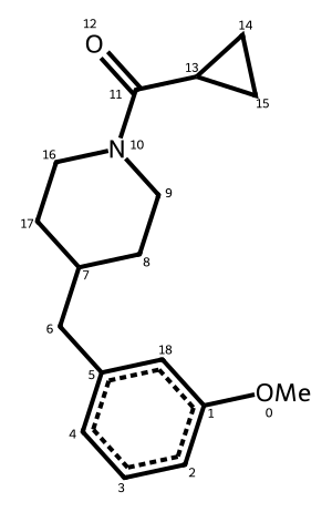 COc1cccc(CC2CCN(C(=O)C3CC3)CC2)c1